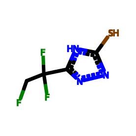 FCC(F)(F)c1nnc(S)[nH]1